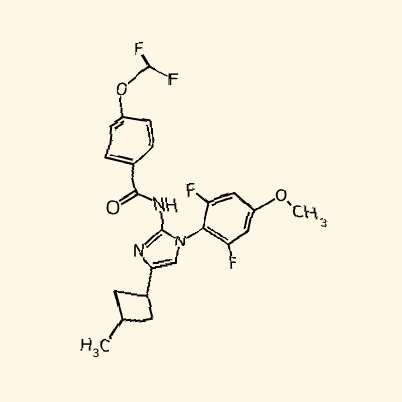 COc1cc(F)c(-n2cc(C3CC(C)C3)nc2NC(=O)c2ccc(OC(F)F)cc2)c(F)c1